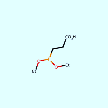 CCOP(CCC(=O)O)OCC